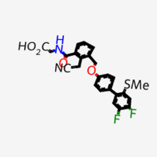 CSc1cc(F)c(F)cc1-c1ccc(OCc2cccc(C(=O)NCC(=O)O)c2CC#N)cc1